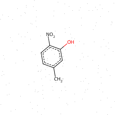 [CH2]c1ccc([N+](=O)[O-])c(O)c1